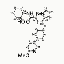 COc1ccc(-c2ccc(Cc3cc(C(=O)N[C@@H]4CCCC[C@H]4O)nn4cccc34)cc2)cn1